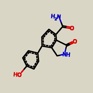 NC(=O)c1ccc(-c2ccc(O)cc2)c2c1C(=O)NC2